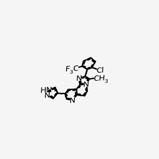 Cc1c(-c2c(Cl)cccc2C(F)(F)F)nc2c3cc(-c4cn[nH]c4)cnc3ccn12